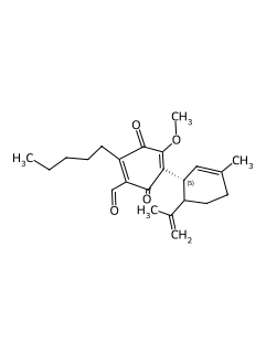 C=C(C)C1CCC(C)=C[C@H]1C1=C(OC)C(=O)C(CCCCC)=C(C=O)C1=O